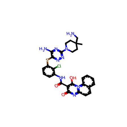 CC1(CN)CCN(c2nnc(Sc3cccc(NC(=O)c4c(O)n5c(ccc6ccccc65)nc4=O)c3Cl)c(N)n2)CC1